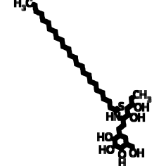 CCCCCCCCCCCCCCCCCCCCCCCCCC(=S)NC(CCC1CC(CO)C(O)C(O)C1O)C(O)CC(O)CC